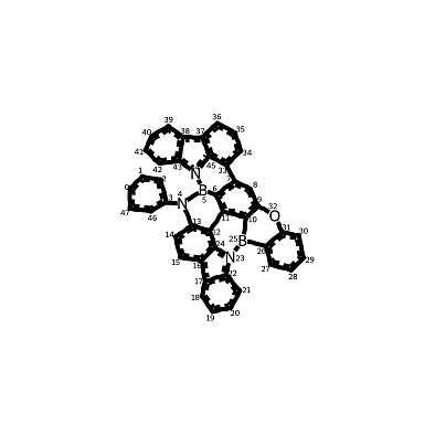 c1ccc(N2B3c4c(cc5c6c4-c4c2ccc2c7ccccc7n(c42)B6c2ccccc2O5)-c2cccc4c5ccccc5n3c24)cc1